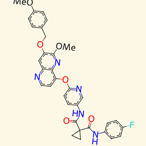 COc1ccc(COc2cc3nccc(Oc4ccc(NC(=O)C5(C(=O)Nc6ccc(F)cc6)CC5)cn4)c3nc2OC)cc1